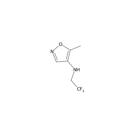 Cc1oncc1NCC(F)(F)F